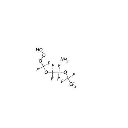 N.OOOC(F)(F)OC(F)(F)C(F)(F)OC(F)(F)C(F)(F)F